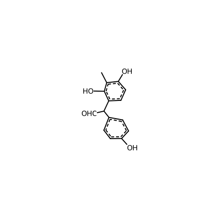 Cc1c(O)ccc(C(C=O)c2ccc(O)cc2)c1O